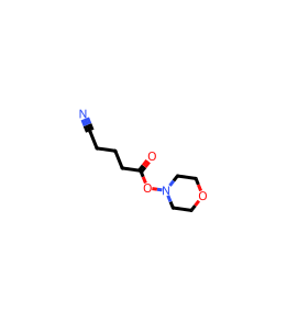 N#CCCCC(=O)ON1CCOCC1